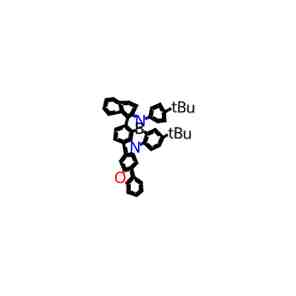 CC(C)(C)c1ccc(N2B3c4cc(C(C)(C)C)ccc4-n4c5cc6c(cc5c5ccc(c3c54)-c3c2ccc2ccccc32)oc2ccccc26)cc1